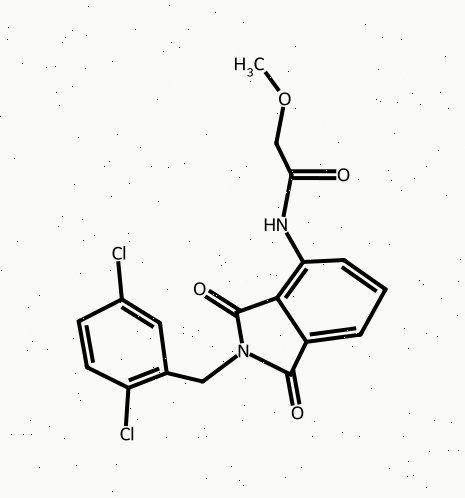 COCC(=O)Nc1cccc2c1C(=O)N(Cc1cc(Cl)ccc1Cl)C2=O